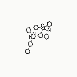 c1ccc(-c2ccc(-c3cc(-c4cccc(-c5c(-c6ccccc6)oc6c5c(-c5ccccc5)nc5ccccc56)c4)nc(-c4ccccc4)n3)cc2)cc1